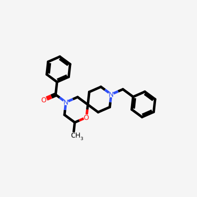 CC1CN(C(=O)c2ccccc2)CC2(CCN(Cc3ccccc3)CC2)O1